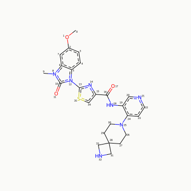 COc1ccc2c(c1)n(C)c(=O)n2-c1nc(C(=O)Nc2cnccc2N2CCC3(CC2)CNC3)cs1